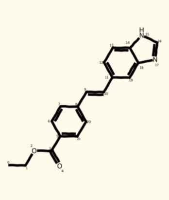 CCOC(=O)c1ccc(/C=C/c2ccc3[nH]cnc3c2)cc1